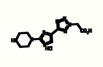 Cl.O=C(O)Cn1nnc(-c2cnc(N3CCNCC3)s2)n1